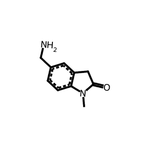 CN1C(=O)Cc2cc(CN)ccc21